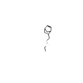 CCO[SiH2]CC1CC2C=CC1C2